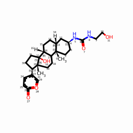 C[C@]12CC[C@H](NC(=O)NCCO)C[C@H]1CC[C@@H]1C2CC[C@]2(C)[C@@H](c3ccc(=O)oc3)CC[C@]12O